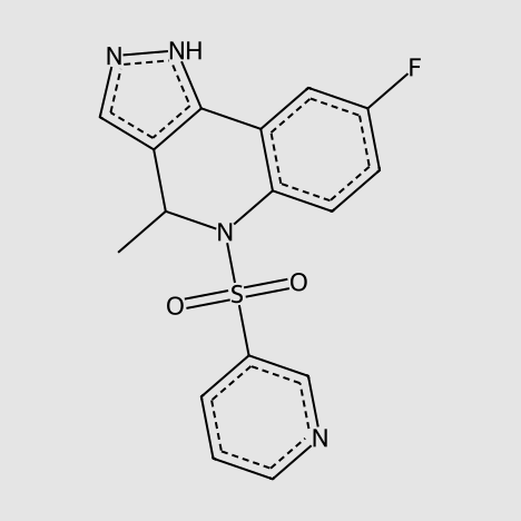 CC1c2cn[nH]c2-c2cc(F)ccc2N1S(=O)(=O)c1cccnc1